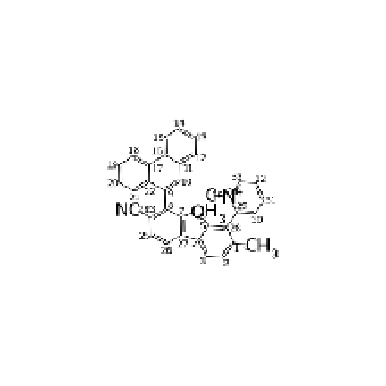 Cc1ccc2c(oc3c(-c4cc5ccccc5c5ccccc45)c(C#N)ccc32)c1-c1cccc[n+]1C